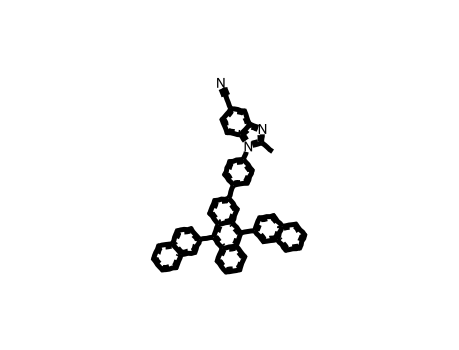 Cc1nc2cc(C#N)ccc2n1-c1ccc(-c2ccc3c(-c4ccc5ccccc5c4)c4ccccc4c(-c4ccc5ccccc5c4)c3c2)cc1